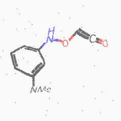 CNc1cccc(NOC=C=O)c1